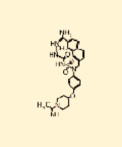 CNC(=O)NS(=O)(=O)N(Cc1ccc2ccc(C(=N)N)cc2c1)c1ccc(OC2CCN(C(C)=N)CC2)cc1